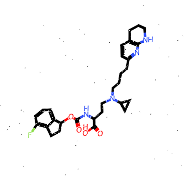 O=C(NC(CCN(CCCCc1ccc2c(n1)NCCC2)C1CC1)C(=O)O)OC1CCc2c(F)cccc21